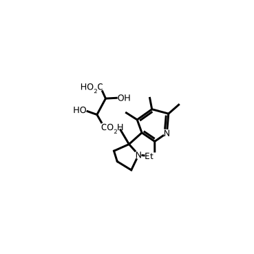 CCN1CCCC1(C)c1c(C)nc(C)c(C)c1C.O=C(O)C(O)C(O)C(=O)O